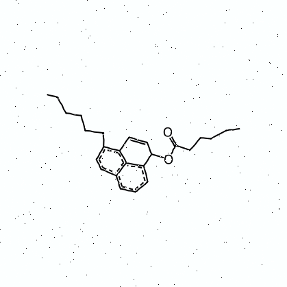 CCCCCCc1ccc2cccc3c2c1C=CC3OC(=O)CCCCC